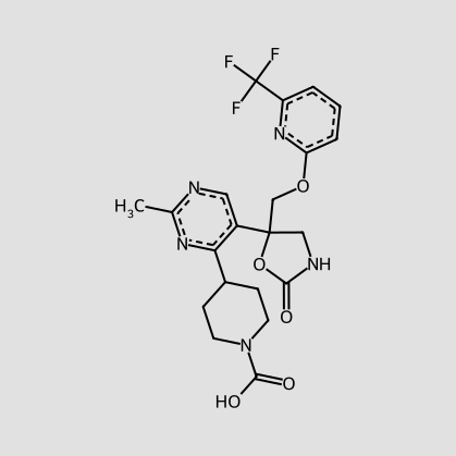 Cc1ncc(C2(COc3cccc(C(F)(F)F)n3)CNC(=O)O2)c(C2CCN(C(=O)O)CC2)n1